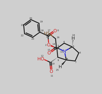 O=C(O[C@H]1C[C@H]2CC[C@H]([C@@H]1C(=O)O)N2C(=O)CS)c1ccccc1